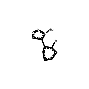 CC(C)(C)n1nnnc1-c1ccccc1Br